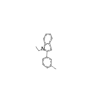 CCn1c(-c2cccc(C)c2)cc2ccccc21